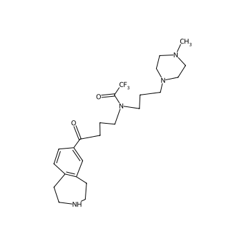 CN1CCN(CCCN(CCCC(=O)c2ccc3c(c2)CCNCC3)C(=O)C(F)(F)F)CC1